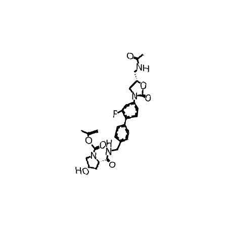 C=C(C)OC(=O)N1C[C@H](O)C[C@H]1C(=O)NCc1ccc(-c2ccc(N3C[C@H](CNC(C)=O)OC3=O)cc2F)cc1